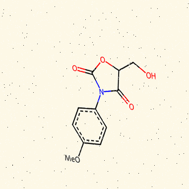 COc1ccc(N2C(=O)OC(CO)C2=O)cc1